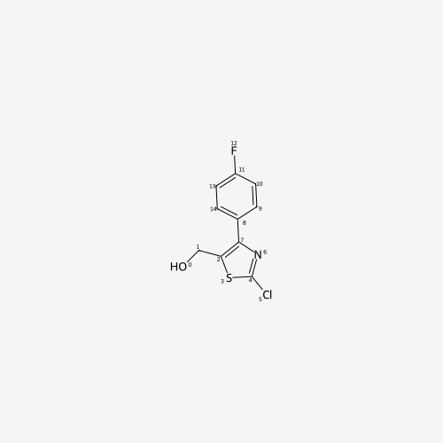 OCc1sc(Cl)nc1-c1ccc(F)cc1